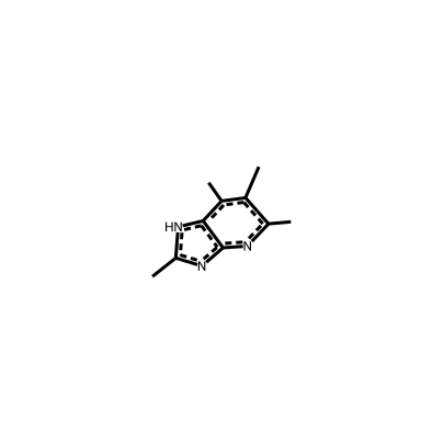 Cc1nc2nc(C)c(C)c(C)c2[nH]1